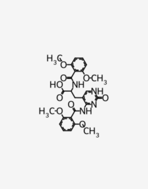 COc1cccc(OC)c1C(=O)Nc1nc(=O)[nH]cc1CC(NC(=O)c1c(OC)cccc1OC)C(=O)O